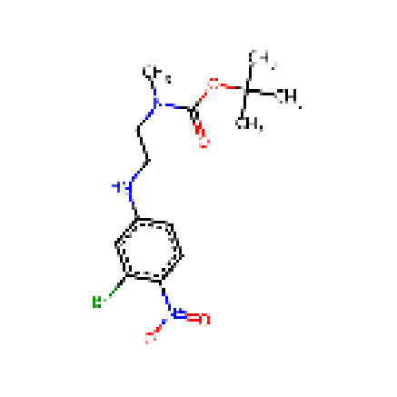 CN(CCNc1ccc([N+](=O)[O-])c(Br)c1)C(=O)OC(C)(C)C